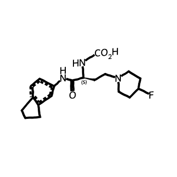 O=C(O)N[C@@H](CCN1CCC(F)CC1)C(=O)Nc1ccc2c(c1)CCC2